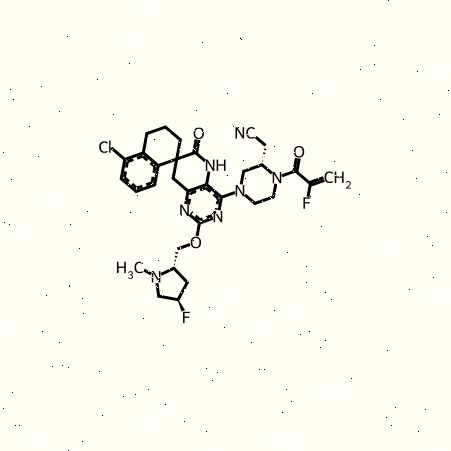 C=C(F)C(=O)N1CCN(c2nc(OC[C@@H]3C[C@@H](F)CN3C)nc3c2NC(=O)C2(CCCc4c(Cl)cccc42)C3)C[C@@H]1CC#N